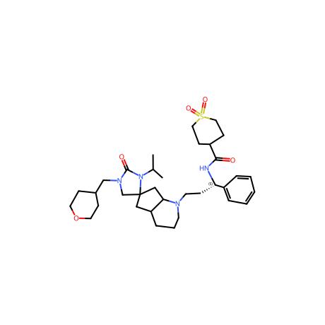 CC(C)N1C(=O)N(CC2CCOCC2)CC12CC1CCCN(CC[C@H](NC(=O)C3CCS(=O)(=O)CC3)c3ccccc3)C1C2